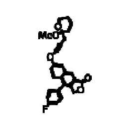 COC1(CC#COc2ccc3c(-c4ccc(F)cc4)c4c(cc3c2)C(=O)OC4)CCCCO1